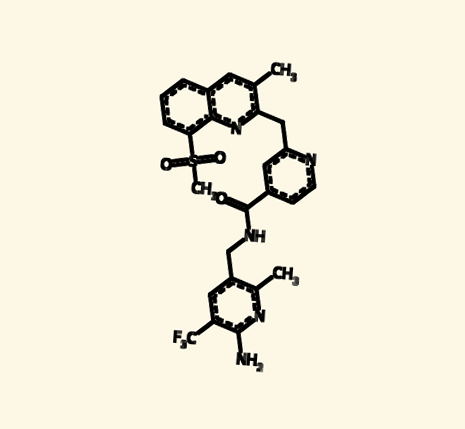 Cc1cc2cccc(S(C)(=O)=O)c2nc1Cc1cc(C(=O)NCc2cc(C(F)(F)F)c(N)nc2C)ccn1